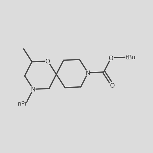 CCCN1CC(C)OC2(CCN(C(=O)OC(C)(C)C)CC2)C1